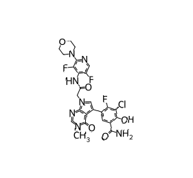 Cn1cnc2c(c(-c3cc(C(N)=O)c(O)c(Cl)c3F)cn2CC(=O)Nc2c(F)cnc(N3CCOCC3)c2F)c1=O